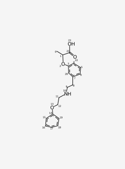 CC(Oc1cccc(CCNCCOc2ccccc2)c1)C(=O)O